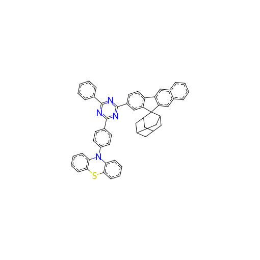 c1ccc(-c2nc(-c3ccc(N4c5ccccc5Sc5ccccc54)cc3)nc(-c3ccc4c(c3)C3(c5cc6ccccc6cc5-4)C4CC5CC(C4)CC3C5)n2)cc1